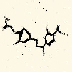 CCC(CCc1ccc(OCC(=O)C(C)(C)C)c(Cl)c1)c1ccc(C(=O)OC)c(Cl)c1